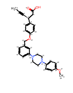 CC#C[C@@H](CC(=O)O)c1ccc(OCc2cccc(N3CCN(c4ccc(OC)cc4)CC3)c2)cc1